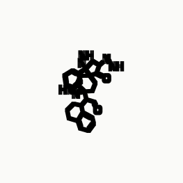 N=NC1CC(N=N)(c2ccccc2)C2(CCC(N=N)(C(C=O)C3CCCc4ccccc43)CC2)C1=O